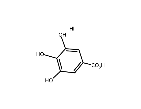 I.O=C(O)c1cc(O)c(O)c(O)c1